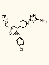 Nc1nnc(N2CCC(N3C[C@H](COCC(F)(F)F)OC[C@@H]3Cc3ccc(Cl)cc3)CC2)[nH]1